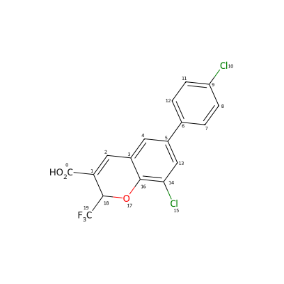 O=C(O)C1=Cc2cc(-c3ccc(Cl)cc3)cc(Cl)c2OC1C(F)(F)F